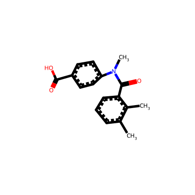 Cc1cccc(C(=O)N(C)c2ccc(C(=O)O)cc2)c1C